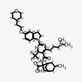 CC1CC2CC(C1)C(NC(=O)c1c(CCCN(C)C)nc(N3CCc4cc(OCCC5CCOCC5)ccc43)nc1C(F)(F)F)(C(=O)O)C2